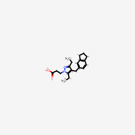 CCc1nn(CCC(=O)O)c(CC)c1Cc1ccc2c(c1)CCC2